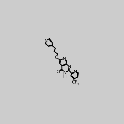 O=c1[nH]c(-c2cc(C(F)(F)F)ccn2)nc2cnc(OCCCc3ccncc3)cc12